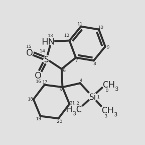 C[Si](C)(C)CC1(C2c3ccccc3NS2(=O)=O)CCCCC1